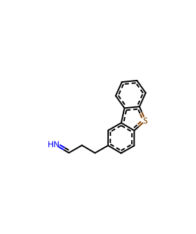 N=CCCc1ccc2sc3ccccc3c2c1